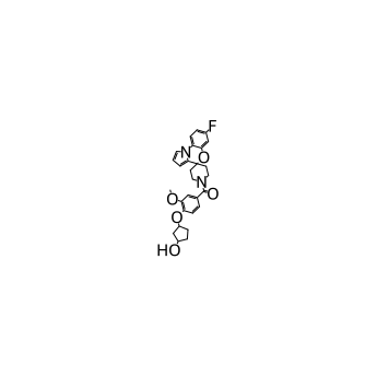 COc1cc(C(=O)N2CCC3(CC2)Oc2cc(F)ccc2-n2cccc23)ccc1OC1CCC(O)C1